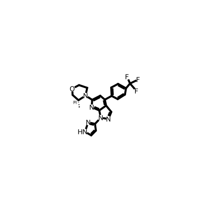 C[C@@H]1COCCN1c1cc(-c2ccc(C(F)(F)F)cc2)c2cnn(-c3cc[nH]n3)c2n1